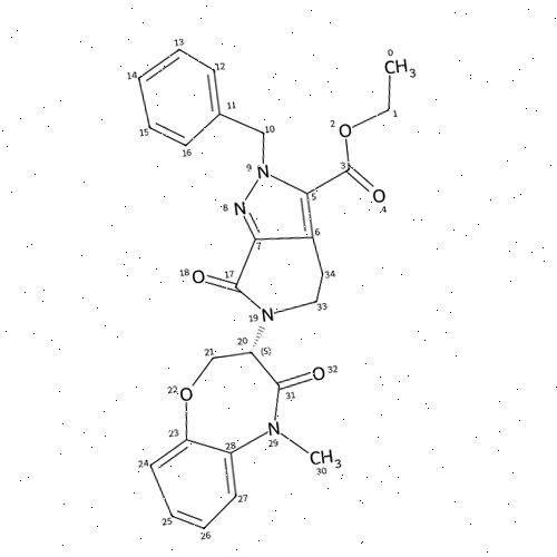 CCOC(=O)c1c2c(nn1Cc1ccccc1)C(=O)N([C@H]1COc3ccccc3N(C)C1=O)CC2